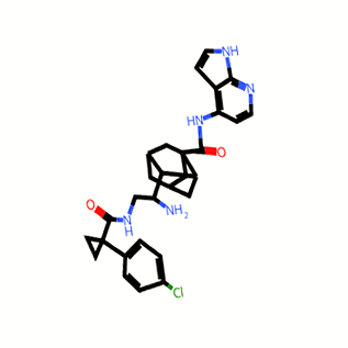 NC(CNC(=O)C1(c2ccc(Cl)cc2)CC1)C1C2CC3CC1C(C(=O)Nc1ccnc4[nH]ccc14)(C3)C2